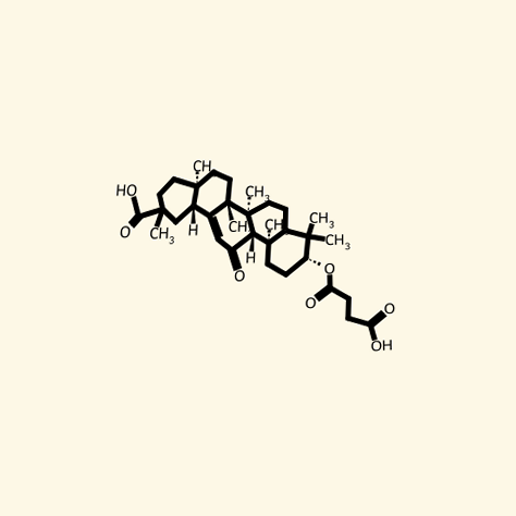 CC1(C(=O)O)CC[C@@]2(C)CC[C@@]3(C)C(=CC(=O)[C@@H]4[C@]3(C)CCC3C(C)(C)[C@H](OC(=O)CCC(=O)O)CC[C@]34C)[C@@H]2C1